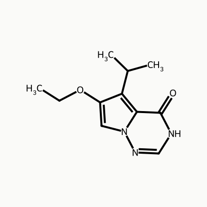 CCOc1cn2nc[nH]c(=O)c2c1C(C)C